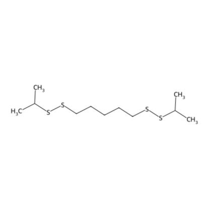 CC(C)SSCCCCCSSC(C)C